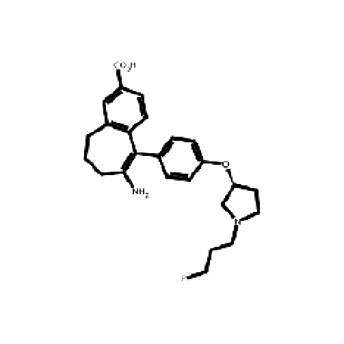 NC1=C(c2ccc(O[C@H]3CCN(CCCF)C3)cc2)c2ccc(C(=O)O)cc2CCC1